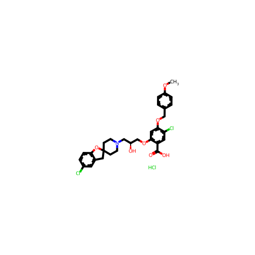 COc1ccc(COc2cc(OC[C@@H](O)CN3CCC4(CC3)Cc3cc(Cl)ccc3O4)c(C(=O)O)cc2Cl)cc1.Cl